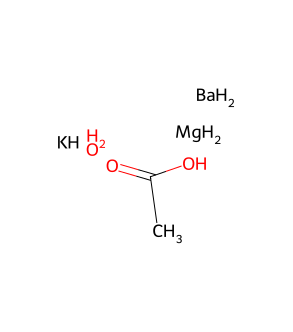 CC(=O)O.O.[BaH2].[KH].[MgH2]